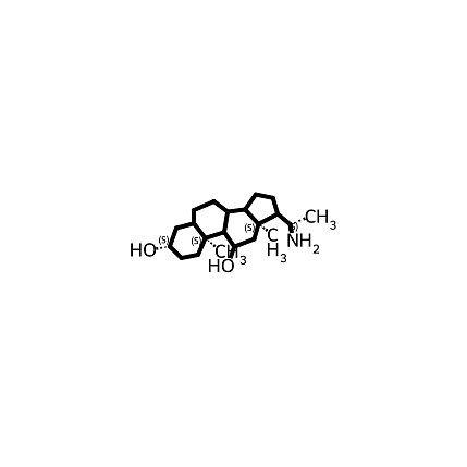 C[C@H](N)C1CCC2C3CCC4C[C@@H](O)CC[C@]4(C)C3C(O)C[C@@]21C